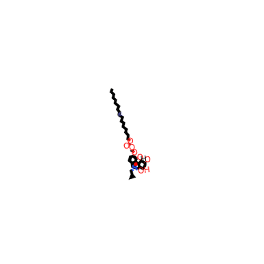 CCCCCCCC/C=C/CCCCCCCCOC(=O)OCOC1=C2O[C@H]3C(=O)CC[C@@]4(O)C5CC(C=C1)C2[C@@]34CCN5CC1CC1